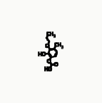 CCCOc1c(C)ccc(OC(=O)O)c1O